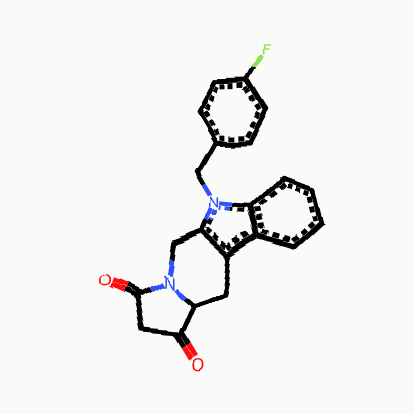 O=C1CC(=O)N2Cc3c(c4ccccc4n3Cc3ccc(F)cc3)CC12